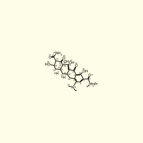 CCCN(C)C(=O)c1cc(N(C)C)c2c(c1O)C(=O)C1=C(O)[C@]3(O)C(=O)C(C(N)=O)C(O)C[C@@H]3C[C@@H]1C2